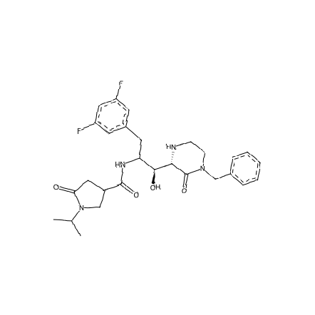 CC(C)N1CC(C(=O)NC(Cc2cc(F)cc(F)c2)[C@H](O)[C@@H]2NCCN(Cc3ccccc3)C2=O)CC1=O